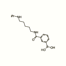 CC(C)NCCCCCNC(=O)c1cccc(B(O)O)c1